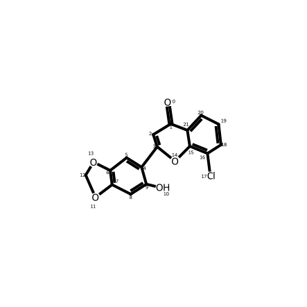 O=c1cc(-c2cc3c(cc2O)OCO3)oc2c(Cl)cccc12